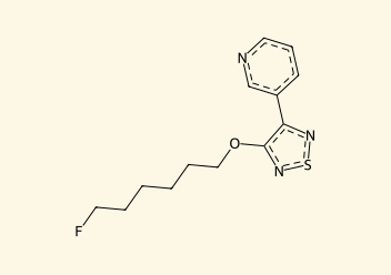 FCCCCCCOc1nsnc1-c1cccnc1